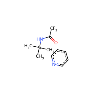 C[Si](C)(C)NC(=O)C(F)(F)F.c1ccncc1